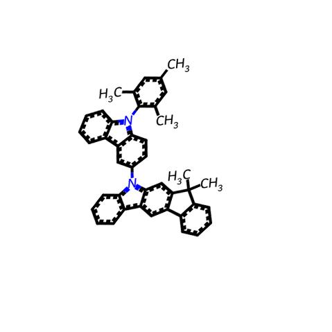 Cc1cc(C)c(-n2c3ccccc3c3cc(-n4c5ccccc5c5cc6c(cc54)C(C)(C)c4ccccc4-6)ccc32)c(C)c1